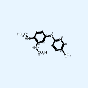 O=C(O)Nc1ccc(Oc2ccc([N+](=O)[O-])cn2)cc1NC(=O)O